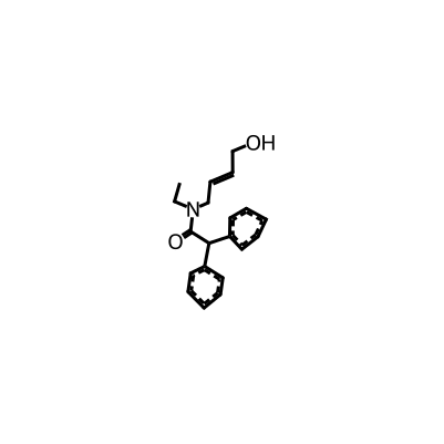 CCN(CC=CCO)C(=O)C(c1ccccc1)c1ccccc1